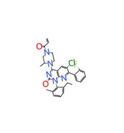 C=CC(=O)N1CCN(c2nc(=O)n(-c3c(C)cccc3CC)c3nc(-c4ccccc4F)c(Cl)cc23)C(C)C1